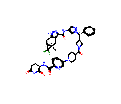 C[C@@]12Cc3[nH]nc(C(=O)Nc4cnn([C@H](c5ccccc5)C5CN(C(=O)C6CCN(c7ccc(C(=O)NC8CCC(=O)NC8=O)nc7)CC6)C5)c4)c3C[C@@H]1C2(F)F